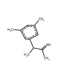 CC(=N)C(C)c1cc(C)cc(C)c1